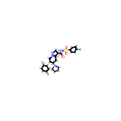 O=C(NS(=O)(=O)c1ccc(F)cc1)c1cnn2ccc(N3CCC[C@@H]3c3cc(F)ccc3F)cc12